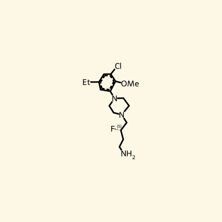 CCc1cc(Cl)c(OC)c(N2CCN(C[C@@H](F)CCN)CC2)c1